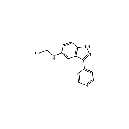 OCNc1ccc2[nH]nc(-c3ccncc3)c2c1